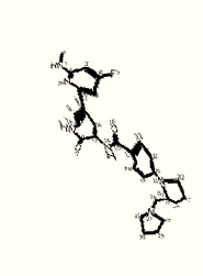 CNc1cc(F)cc(-c2c[nH]c(=O)c(NC(=O)c3ccc(N4CCC[C@H]4CN4CCCC4)cc3)c2)n1